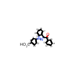 O=C(O)c1ccc(-n2nc(C(=O)c3ccccc3)c3ccccc32)cc1